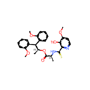 COc1ccccc1C(c1ccccc1OC)[C@H](C)OC(=O)[C@H](C)NC(=S)c1nccc(OC)c1O